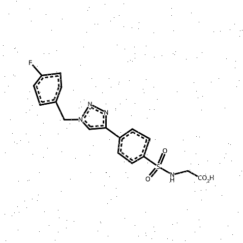 O=C(O)CNS(=O)(=O)c1ccc(-c2cn(Cc3ccc(F)cc3)nn2)cc1